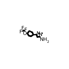 Cn1nc(-c2ccc(OC(F)(F)F)cc2)cc1N